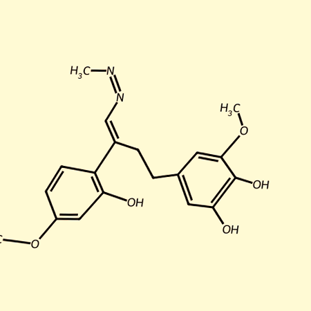 C/N=N\C=C(/CCc1cc(O)c(O)c(OC)c1)c1ccc(OC)cc1O